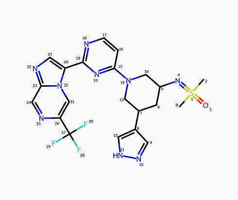 CS(C)(=O)=NC1CC(c2cn[nH]c2)CN(c2ccnc(-c3cnc4cnc(C(F)(F)F)cn34)n2)C1